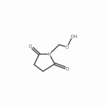 O=C1CCC(=O)N1COO